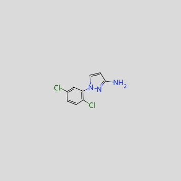 Nc1ccn(-c2cc(Cl)ccc2Cl)n1